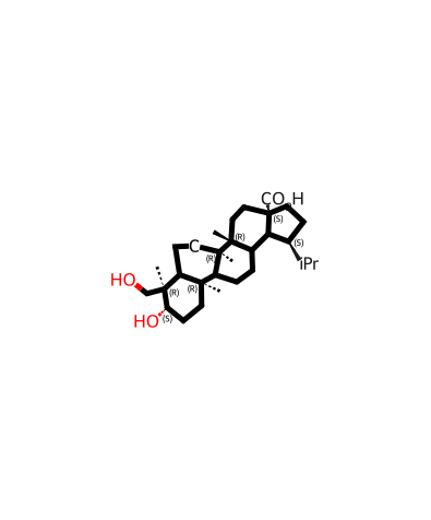 CC(C)[C@@H]1CC[C@]2(C(=O)O)CC[C@]3(C)C(CCC4[C@@]5(C)CC[C@H](O)[C@@](C)(CO)C5CC[C@]43C)C12